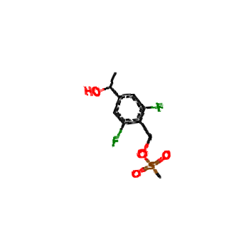 CC(O)c1cc(F)c(COS(C)(=O)=O)c(F)c1